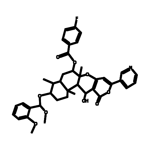 COc1ccccc1C(OC)OC1CCC2(C)C(CC(OC(=O)c3ccc(F)cc3)C3(C)Oc4cc(-c5cccnc5)oc(=O)c4C(O)C23)C1C